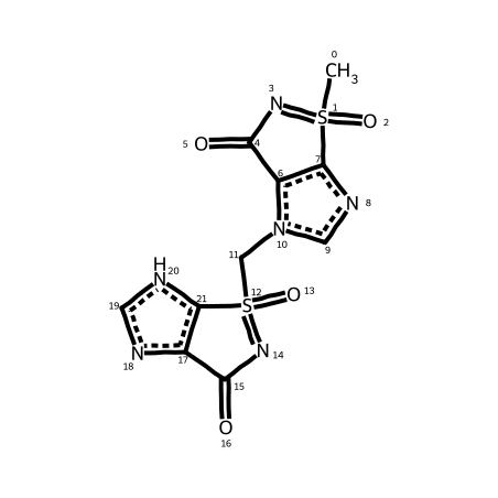 CS1(=O)=NC(=O)c2c1ncn2CS1(=O)=NC(=O)c2nc[nH]c21